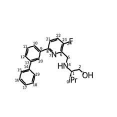 CC(C)[C@H](CO)NCc1nc(-c2cccc(-c3ccccc3)c2)ccc1F